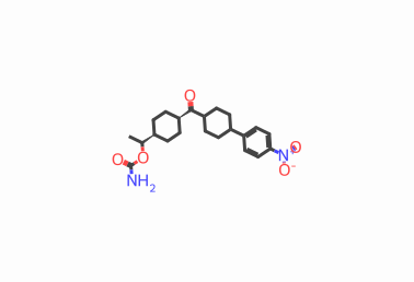 CC(OC(N)=O)[C@H]1CC[C@@H](C(=O)C2CCC(c3ccc([N+](=O)[O-])cc3)CC2)CC1